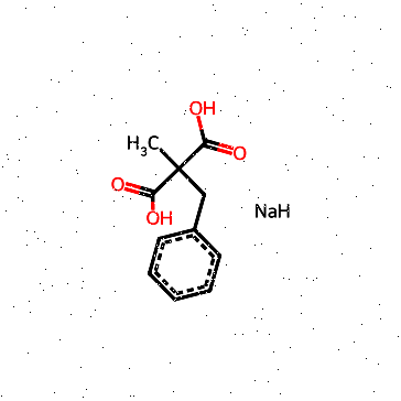 CC(Cc1ccccc1)(C(=O)O)C(=O)O.[NaH]